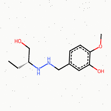 CC[C@H](CO)NNCc1ccc(OC)c(O)c1